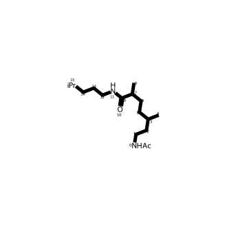 CC(=O)NCCC(C)CCC(C)C(=O)NCCCC(C)C